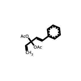 C=CC(C=Cc1ccccc1)(OC(C)=O)OC(C)=O